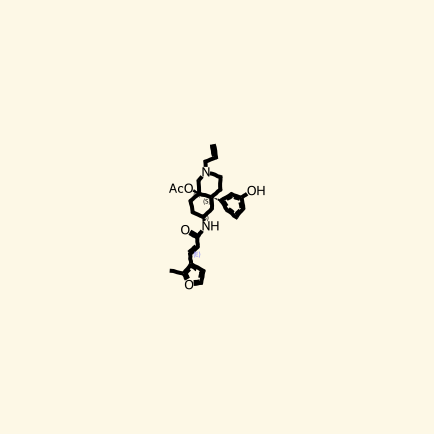 C=CCN1CC[C@@]2(c3cccc(O)c3)C[C@@H](NC(=O)/C=C/c3ccoc3C)CC[C@]2(OC(C)=O)C1